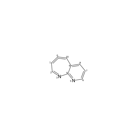 C1=CC=Nc2ncccc2C=1